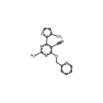 Cc1ccoc1-c1nc(N)nc(OCc2ccccn2)c1C#N